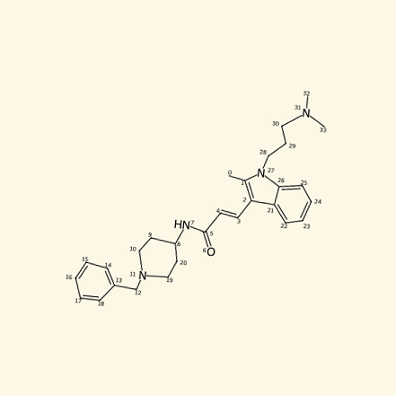 Cc1c(C=CC(=O)NC2CCN(Cc3ccccc3)CC2)c2ccccc2n1CCCN(C)C